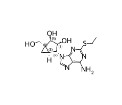 CCSc1nc(N)c2ncn([C@H]3[C@H](O)[C@H](O)[C@]4(CO)C[C@H]34)c2n1